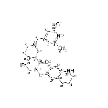 Cc1cc(CN2CCOC(C(=O)N(Cc3ccc4c(c3)C=CCN4)CC(C)C)C2)cc(Cl)n1